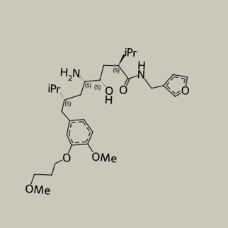 COCCCOc1cc(C[C@@H](C[C@H](N)[C@@H](O)C[C@H](C(=O)NCc2ccoc2)C(C)C)C(C)C)ccc1OC